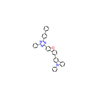 c1ccc(-c2ccc(-c3nc(-c4ccccc4)nc(-c4ccc5c(c4)oc4ccc(-c6ccc7c(c6)c6ccccc6n7-c6ccccc6)cc45)n3)cc2)cc1